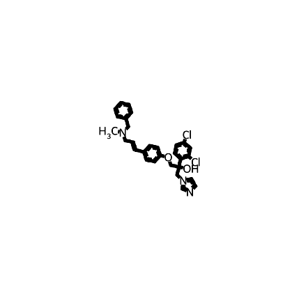 CN(CC=Cc1ccc(OCC(O)(Cn2ccnc2)c2ccc(Cl)cc2Cl)cc1)Cc1ccccc1